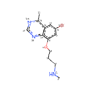 CNCCCOc1cc(Br)cc2c(C)ncnc12